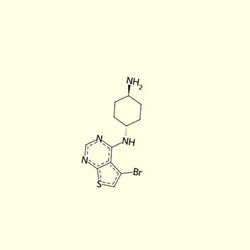 N[C@H]1CC[C@H](Nc2ncnc3scc(Br)c23)CC1